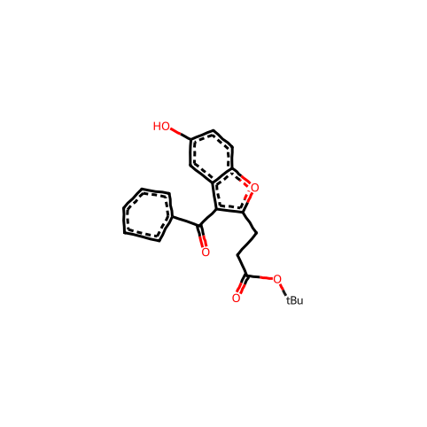 CC(C)(C)OC(=O)CCc1oc2ccc(O)cc2c1C(=O)c1ccccc1